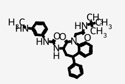 CNc1cccc(NC(=O)NC2CC(c3ccccc3)c3ccccc3N(CC(=O)NC(C)(C)C)C2=O)c1